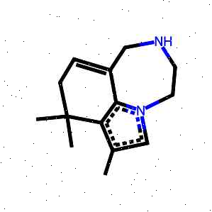 Cc1cn2c3c1C(C)(C)CC=C3CNCC2